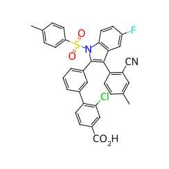 Cc1ccc(S(=O)(=O)n2c(-c3cccc(-c4ccc(C(=O)O)cc4Cl)c3)c(-c3ccc(C)cc3C#N)c3cc(F)ccc32)cc1